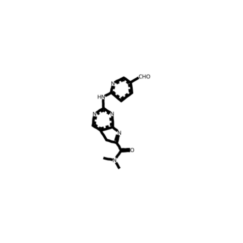 CN(C)C(=O)C1=Nc2nc(Nc3ccc(C=O)cn3)ncc2C1